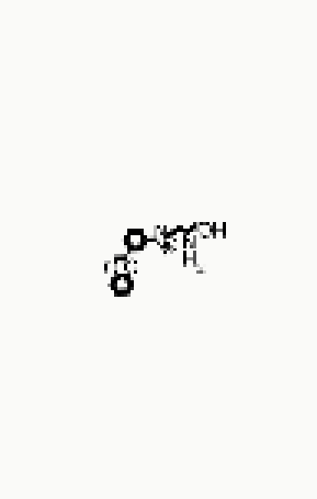 NC(CO)Cc1nc(-c2cccc([C@H]3COc4ccccc4O3)c2)no1